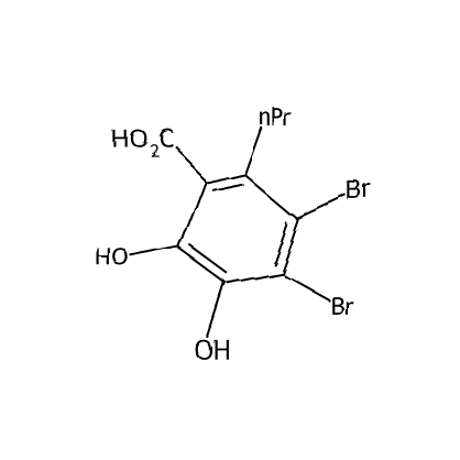 CCCc1c(Br)c(Br)c(O)c(O)c1C(=O)O